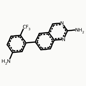 Nc1ccc(C(F)(F)F)c(-c2ccc3nc(N)ncc3c2)c1